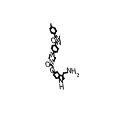 Cc1ccc(-c2nnc(-c3ccc(N4CCN(C(=O)COc5ccc6[nH]cc(CCN)c6c5)CC4)cc3)o2)cc1